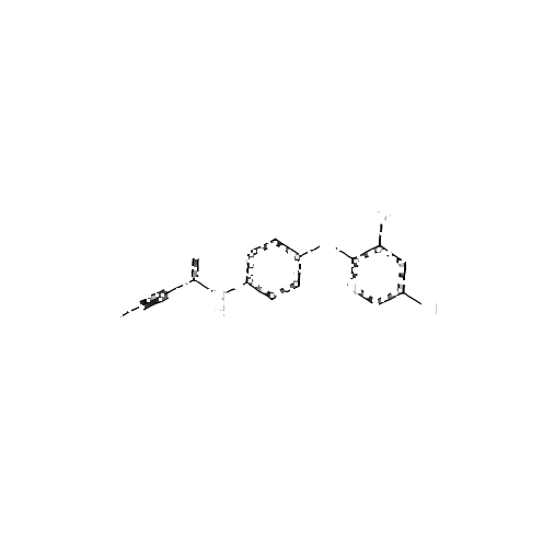 CC#CC(=O)Nc1ccc(Oc2ncc(C)cc2[N+](=O)[O-])cc1